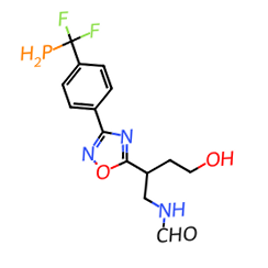 O=CNCC(CCO)c1nc(-c2ccc(C(F)(F)P)cc2)no1